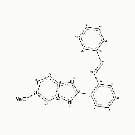 COc1ccc2oc(-c3ccccc3C=Cc3ccccc3)nc2c1